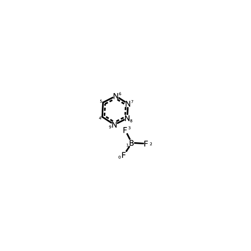 FB(F)F.c1cnnnn1